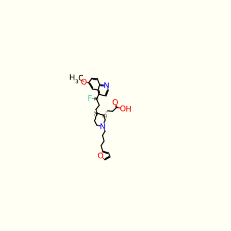 COc1ccc2nccc([C@H](F)CC[C@@H]3CCN(CCCCc4ccco4)C[C@H]3CCC(=O)O)c2c1